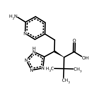 CC(C)(C)[C@H](C(=O)O)C(Cc1ccc(N)nc1)c1nnn[nH]1